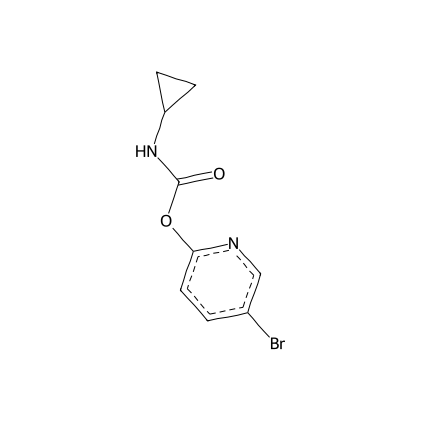 O=C(NC1CC1)Oc1ccc(Br)cn1